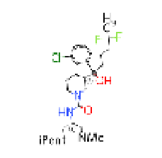 CCCC(C)C[C@@H](CNC)NC(=O)N1CCC[C@@H]([C@@](O)(CCCC(C)(F)F)c2cccc(Cl)c2)C1